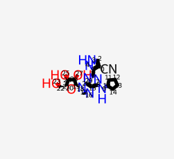 N#Cc1c[nH]nc1-c1nc(NC2CCCC2)c2ncn([C@@H]3O[C@H](CO)C(O)C3O)c2n1